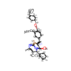 CCOC(=O)C1=C(C)N=c2s/c(=C\c3ccc(OCc4ccc([N+](=O)[O-])cc4)c(OC)c3)c(=O)n2C1c1ccccc1